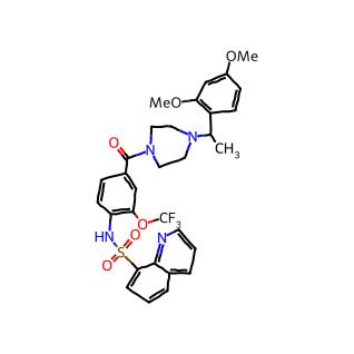 COc1ccc(C(C)N2CCN(C(=O)c3ccc(NS(=O)(=O)c4cccc5cccnc45)c(OC(F)(F)F)c3)CC2)c(OC)c1